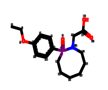 CCOc1ccc(P2(=O)CCCCCCN2CC(=O)O)cc1